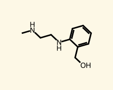 CNCCNc1ccccc1CO